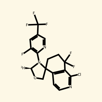 [2H][C@@H]1OCC2(CCC(F)(F)c3c2ccnc3Cl)N1c1ncc(C(F)(F)F)cc1F